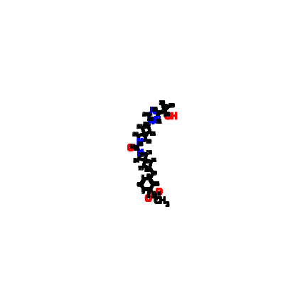 CS(=O)(=O)c1cccc(CC2CC3(C2)CN(C(=O)N2CC4(CC(n5cnc(C6(O)CC6)n5)C4)C2)C3)c1